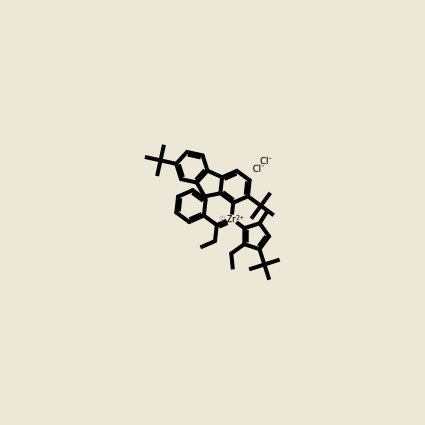 CCC1=[C](/[Zr+2](=[C](\CC)c2ccccc2)[c]2c(C(C)(C)C)ccc3c2Cc2cc(C(C)(C)C)ccc2-3)C(C)C=C1C(C)(C)C.[Cl-].[Cl-]